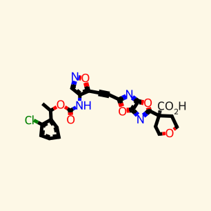 CC(OC(=O)Nc1cnoc1C#Cc1nc2oc(C3(C(=O)O)CCOCC3)nc2o1)c1ccccc1Cl